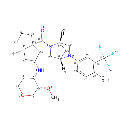 CO[C@@H]1COCC[C@@H]1N[C@@H]1C[C@H]2CCC[C@@]2(C(=O)N2C[C@@H]3C[C@H]2CN3c2ccc(C)c(C(F)(F)F)c2)C1